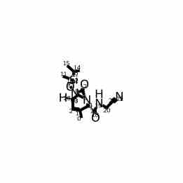 CC1=C[C@H]2CN(C(=O)N2O[Si](C)(C)C(C)C)[C@@H]1C(=O)NCC#N